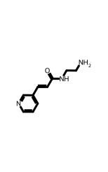 NCCNC(=O)C=Cc1cccnc1